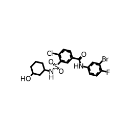 O=C(Nc1ccc(F)c(Br)c1)c1ccc(Cl)c(S(=O)(=O)NC2CCCC(O)C2)c1